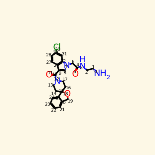 NCCNC(=O)Cn1cc(C(=O)N2CCC3(CC2)OCc2ccccc23)c2ccc(Cl)cc21